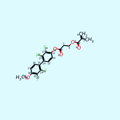 C=C(C)C(=O)OCCC(=O)Oc1ccc(-c2ccc(OC)c(F)c2F)c(F)c1F